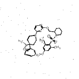 COc1cc(C)c(S(=O)(=O)N2CCCCC2COc2nccc(N3CCC(c4ccccc4)(N(C)C)CC3)n2)c(C)c1